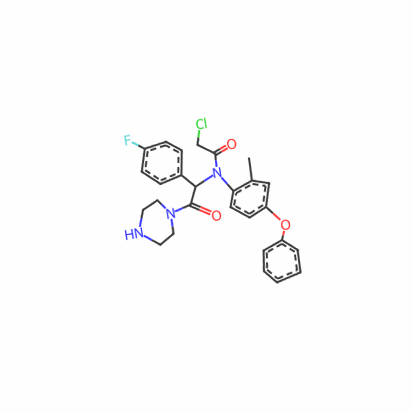 Cc1cc(Oc2ccccc2)ccc1N(C(=O)CCl)C(C(=O)N1CCNCC1)c1ccc(F)cc1